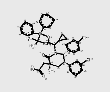 CC(C)(C)[Si](OCC(C1CC1)N1C(=O)[C@@](C)(CC(=O)O)C[C@H](c2cccc(Cl)c2)[C@H]1c1ccc(Cl)cc1)(c1ccccc1)c1ccccc1